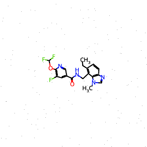 CCc1ccc2ncn(C)c2c1CNC(=O)c1cnc(OC(F)F)c(F)c1